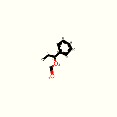 [CH2]CC(O[C]=O)c1ccccc1